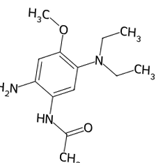 CCN(CC)c1cc(NC(C)=O)c(N)cc1OC